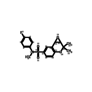 CN(c1ccc(F)cc1)S(=O)(=O)c1ccc2c(c1)C1OC1C(C)(C)O2